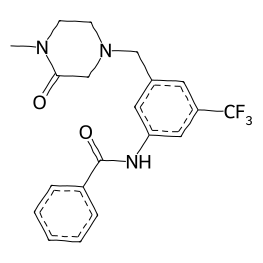 CN1CCN(Cc2cc(NC(=O)c3ccccc3)cc(C(F)(F)F)c2)CC1=O